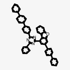 c1ccc(-c2ccc(-c3ccc(-c4nc(-c5ccccc5)nc(-c5cc(-c6ccc(-c7ccccc7)cc6)cc6oc7ccccc7c56)n4)cc3)cc2)cc1